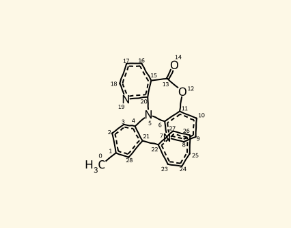 Cc1ccc(N2c3ncccc3OC(=O)c3cccnc32)c(-c2ccccc2)c1